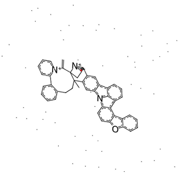 C=C1[n+]2ccccc2-c2ccccc2CCC2(C)c3cc4c(cc3-c3cccc5[n+]3C12C5)c1cccc2c3c5c(ccc3n4c12)oc1ccccc15